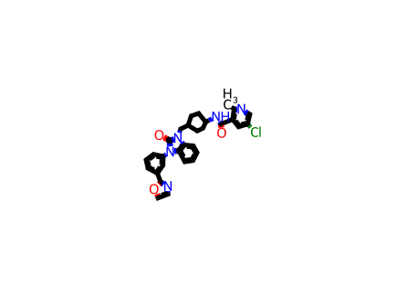 Cc1ncc(Cl)cc1C(=O)NC1CCC(Cn2c(=O)n(-c3cccc(-c4ncco4)c3)c3ccccc32)CC1